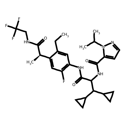 CCc1cc(NC(=O)C(NC(=O)c2ccnn2C(C)C)C(C2CC2)C2CC2)c(F)cc1[C@@H](C)C(=O)NCC(F)(F)F